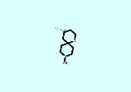 C[C@@H]1CCOC2(CCN(C)CC2)C1